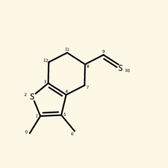 Cc1sc2c(c1C)CC(C=S)CC2